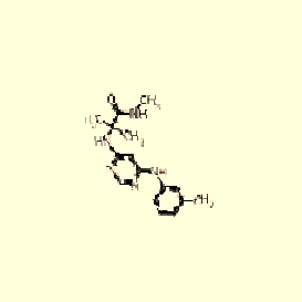 CNC(=O)C(C)(C)Nc1cc(Nc2cccc(C)c2)ncn1